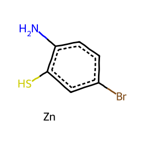 Nc1ccc(Br)cc1S.[Zn]